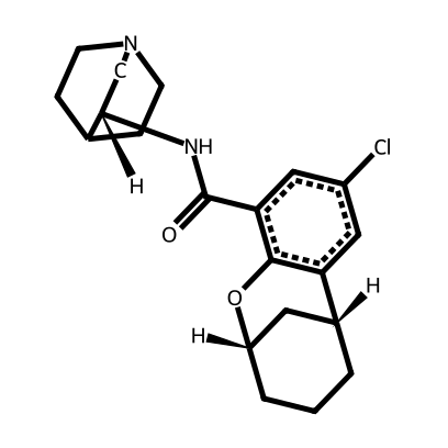 O=C(N[C@H]1CN2CCC1CC2)c1cc(Cl)cc2c1O[C@H]1CCC[C@@H]2C1